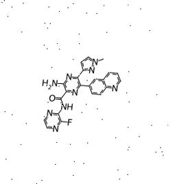 Cn1ccc(-c2nc(N)c(C(=O)Nc3nccnc3F)nc2-c2ccc3ncccc3c2)n1